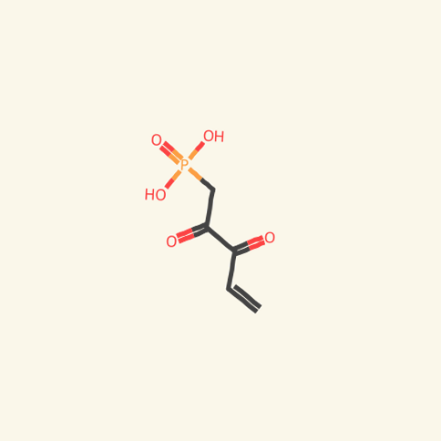 C=CC(=O)C(=O)CP(=O)(O)O